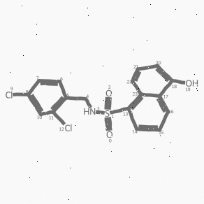 O=S(=O)(NCc1ccc(Cl)cc1Cl)c1cccc2c(O)cccc12